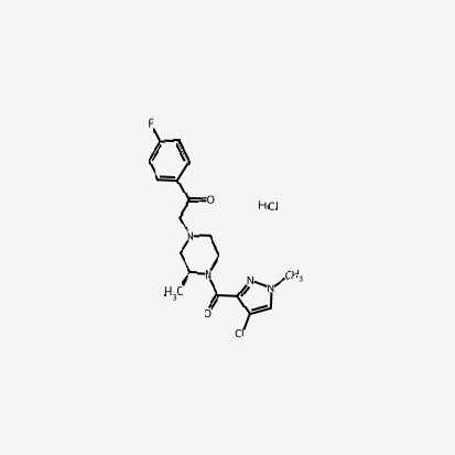 C[C@H]1CN(CC(=O)c2ccc(F)cc2)CCN1C(=O)c1nn(C)cc1Cl.Cl